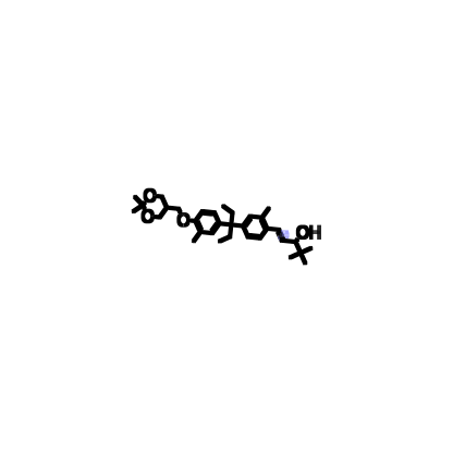 CCC(CC)(c1ccc(/C=C/C(O)C(C)(C)C)c(C)c1)c1ccc(OCC2COC(C)(C)OC2)c(C)c1